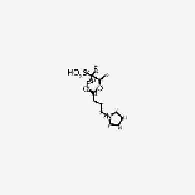 CC(OC(=O)CCCN1CCCC1)C(F)(F)S(=O)(=O)O